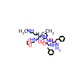 CNCCCC[C@@H](NC(=O)[C@@H](CC(C)C)NC(=O)[C@@H](Cc1ccccc1)NC(=O)[C@H](N)Cc1ccccc1)C(=O)NCC1OCCO1